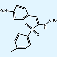 Cc1ccc(S(=O)(=O)/C(=C\c2ccc([N+](=O)[O-])cc2)NC=O)cc1